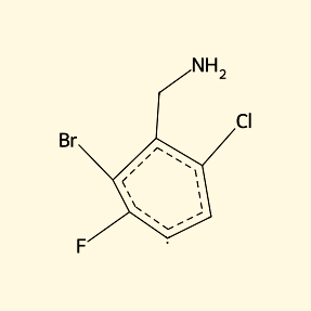 NCc1c(Cl)c[c]c(F)c1Br